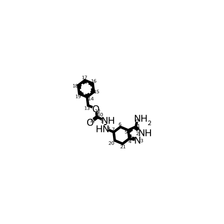 Nc1[nH]nc2c1CC(NNC(=O)OCc1ccccc1)CC2